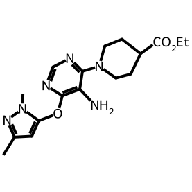 CCOC(=O)C1CCN(c2ncnc(Oc3cc(C)nn3C)c2N)CC1